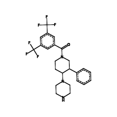 O=C(c1cc(C(F)(F)F)cc(C(F)(F)F)c1)N1CCC(N2CCNCC2)C(c2ccccc2)C1